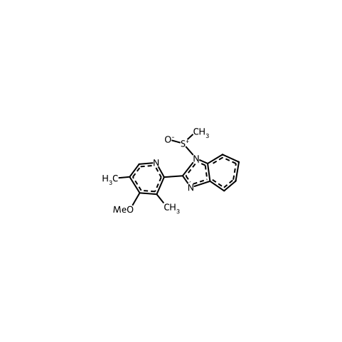 COc1c(C)cnc(-c2nc3ccccc3n2[S+](C)[O-])c1C